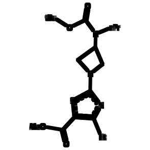 CCCN(C(=O)OC(C)(C)C)C1CN(c2nc(CC)c(C(=O)OC)s2)C1